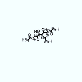 O=C(CS)OCC(O)C(O)C(OC(=O)CS)C(O)COC(=O)CS